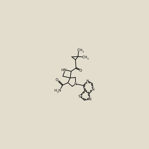 CC1(C)CC1C(=O)C1NCC12CN(c1ncnc3ncsc13)CC2C(N)=O